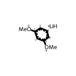 COc1[c]ccc(OC)c1.[LiH]